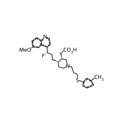 COc1ccc2nccc([C@@H](F)CC[C@@H]3CCN(CCCSc4cccc(C)c4)C[C@@H]3CC(=O)O)c2c1